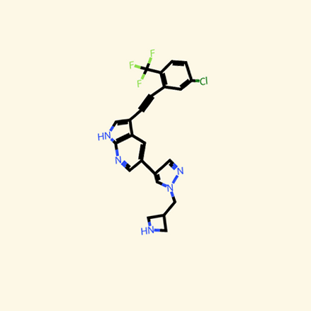 FC(F)(F)c1ccc(Cl)cc1C#Cc1c[nH]c2ncc(-c3cnn(CC4CNC4)c3)cc12